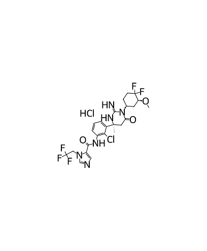 CO[C@H]1C[C@@H](N2C(=N)N[C@](C)(c3cccc(NC(=O)c4cncn4CC(F)(F)F)c3Cl)CC2=O)CCC1(F)F.Cl